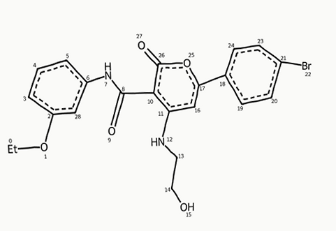 CCOc1cccc(NC(=O)c2c(NCCO)cc(-c3ccc(Br)cc3)oc2=O)c1